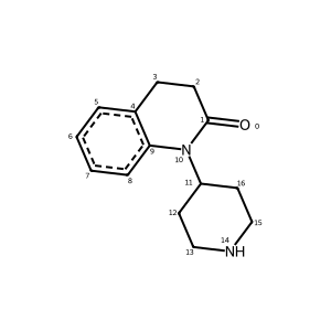 O=C1CCc2ccccc2N1C1CCNCC1